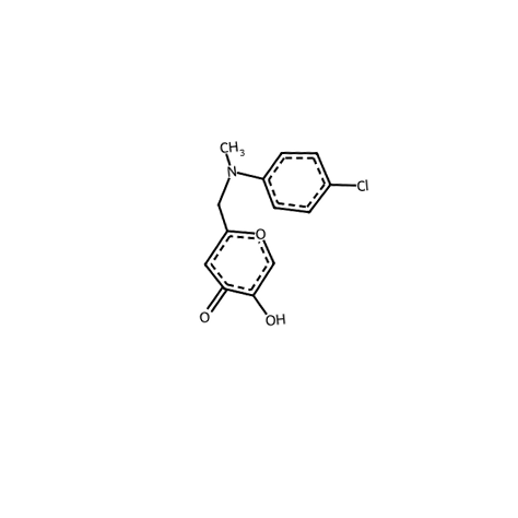 CN(Cc1cc(=O)c(O)co1)c1ccc(Cl)cc1